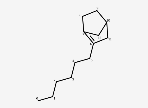 CCCCCCC1=C2CCC(C1)C2